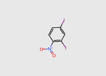 O=[N+]([O-])c1ccc(I)cc1I